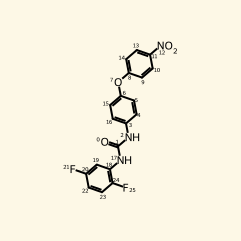 O=C(Nc1ccc(Oc2ccc([N+](=O)[O-])cc2)cc1)Nc1cc(F)ccc1F